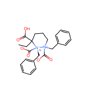 CCC1(C(=O)O)CCC[N+](Cc2ccccc2)(C(=O)[O-])[N@+]1(Cc1ccccc1)C(=O)[O-]